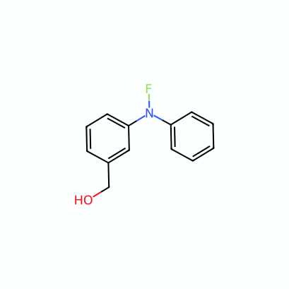 OCc1cccc(N(F)c2ccccc2)c1